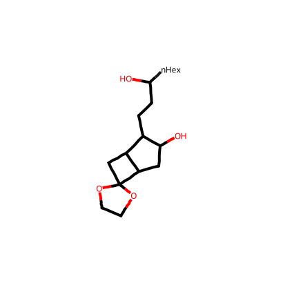 CCCCCCC(O)CCC1C(O)CC2C1CC21OCCO1